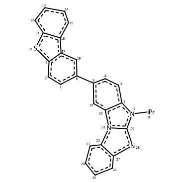 CC(C)n1c2ccc(-c3ccc4sc5ccccc5c4c3)cc2n2c3ccccc3nc12